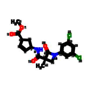 COC(=O)[C@@H]1C=C[C@H](NC(=O)[C@@]2(C)CN(c3cc(Cl)cc(Cl)c3)C2=O)C1